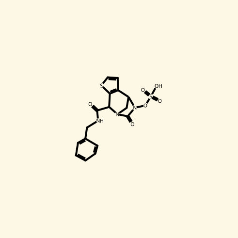 O=C(NCc1ccccc1)C1c2sccc2C2CN1C(=O)N2OS(=O)(=O)O